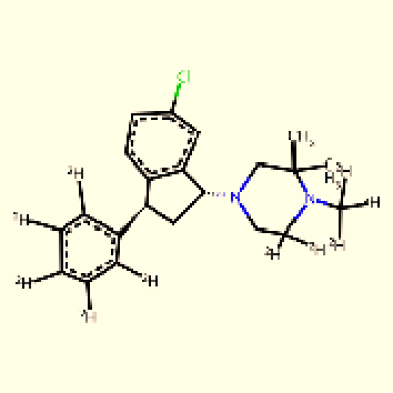 [2H]c1c([2H])c([2H])c([C@@H]2C[C@@H](N3CC([2H])([2H])N(C([2H])([2H])[2H])C(C)(C)C3)c3cc(Cl)ccc32)c([2H])c1[2H]